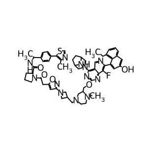 CCc1cccc2cc(O)cc(-c3ncc4c(N5CC6CCC(C5)N6)nc(OCC5CN(CC6CN(c7cc(CC(=O)N8CCCC8C(=O)NC(C)c8ccc(-c9scnc9C)cc8)on7)C6)CCN5C)nc4c3F)c12